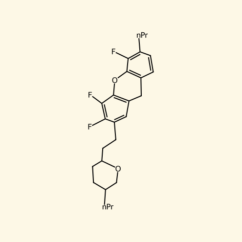 CCCc1ccc2c(c1F)Oc1c(cc(CCC3CCC(CCC)CO3)c(F)c1F)C2